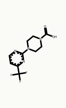 O=C(O)N1CCN(c2nccc(C(F)(F)F)n2)CC1